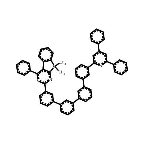 C[Si]1(C)c2ccccc2-c2c(-c3ccccc3)nc(-c3cccc(-c4cccc(-c5cccc(-c6cccc(-c7cc(-c8ccccc8)cc(-c8ccccc8)n7)c6)c5)c4)c3)nc21